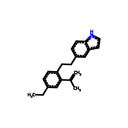 C=C(C)c1cc(CC)ccc1CCc1ccc2[nH]ccc2c1